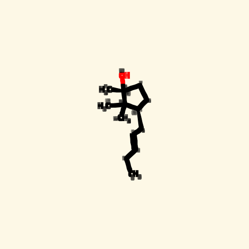 CCC=CC[C@@H]1CC[C@@](C)(O)C1(C)C